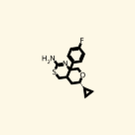 NC1=NC2(c3ccc(F)cc3)CO[C@H](C3CC3)CC2CS1